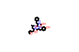 CC(C)CC(NC(=O)C(Cc1ccc(O)cc1)NC(=O)C(Cc1ccccc1)NC(=O)O)C(=O)c1ccco1